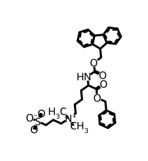 C[N+](C)(CCCCC(NC(=O)OCC1c2ccccc2-c2ccccc21)C(=O)OCc1ccccc1)CCCS(=O)(=O)[O-]